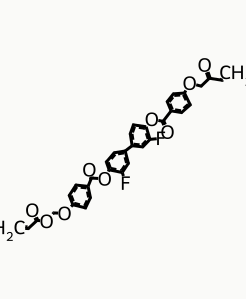 C=CC(=O)COc1ccc(C(=O)Oc2ccc(-c3ccc(OC(=O)c4ccc(OCOC(=O)C=C)cc4)c(F)c3)cc2F)cc1